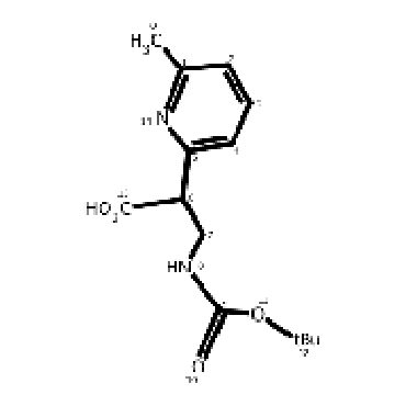 Cc1cccc(C(CNC(=O)OC(C)(C)C)C(=O)O)n1